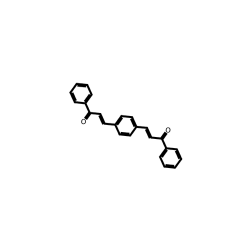 O=C(C=Cc1ccc(C=CC(=O)c2ccccc2)cc1)c1ccccc1